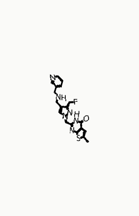 Cc1cc2c(=O)[nH]c(Cn3cc(CNCc4cccnc4)c(CF)n3)nc2s1